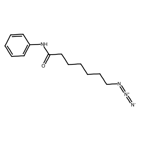 [N-]=[N+]=NCCCCCCC(=O)Nc1ccccc1